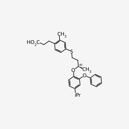 Cc1cc(SCC[C@@H](C)Oc2ccc(C(C)C)cc2Oc2ccccc2)ccc1CCC(=O)O